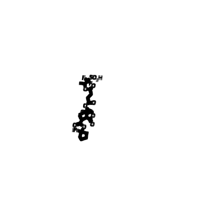 CC(C)C1(OC(=O)C2C3OC4C(OC(=O)C42)C3OC(=O)CCC(=O)OC(C)C(F)(F)S(=O)(=O)O)CCCC1